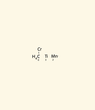 C.[Cr].[Mn].[Ti]